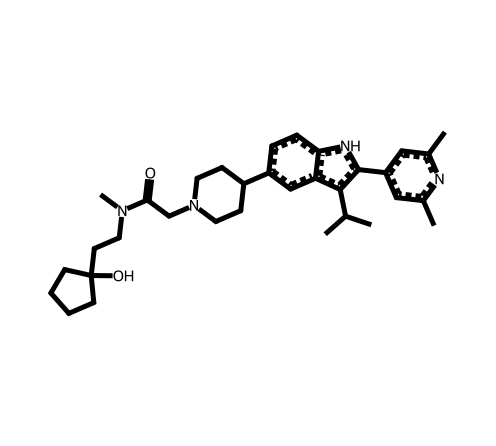 Cc1cc(-c2[nH]c3ccc(C4CCN(CC(=O)N(C)CCC5(O)CCCC5)CC4)cc3c2C(C)C)cc(C)n1